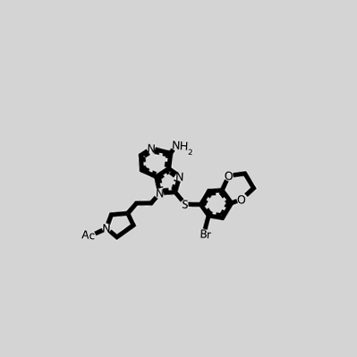 CC(=O)N1CCC(CCn2c(Sc3cc4c(cc3Br)OCCO4)nc3c(N)nccc32)C1